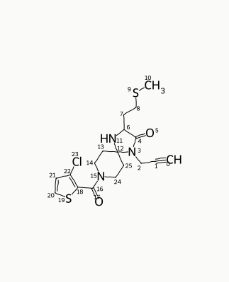 C#CCN1C(=O)C(CCSC)NC12CCN(C(=O)c1sccc1Cl)CC2